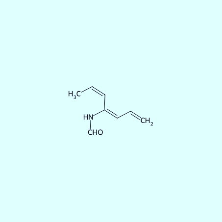 C=C/C=C(\C=C/C)NC=O